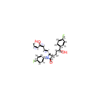 C\C=C/C(O)=C\C=C\[C@@H]1[C@@H](CC[C@H](O)c2ccc(F)cc2)C(=O)N1c1ccc(F)cc1